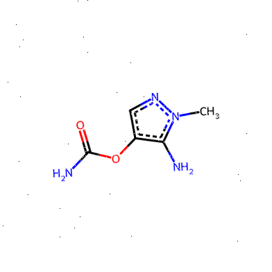 Cn1ncc(OC(N)=O)c1N